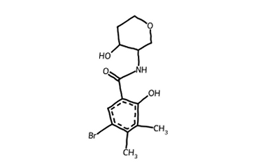 Cc1c(Br)cc(C(=O)NC2COCCC2O)c(O)c1C